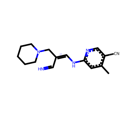 Cc1cc(N/C=C(\C=N)CN2CCCCC2)ncc1C#N